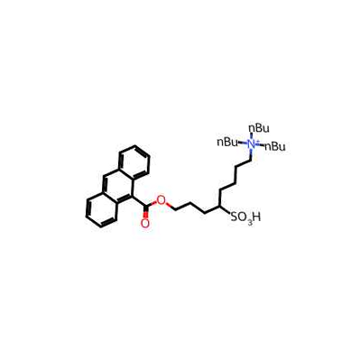 CCCC[N+](CCCC)(CCCC)CCCCC(CCCOC(=O)c1c2ccccc2cc2ccccc12)S(=O)(=O)O